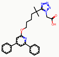 CC(C)(CCCCOc1cc(-c2ccccc2)cc(-c2ccccc2)n1)c1nnnn1CC(=O)O